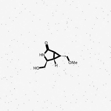 COC[C@H]1C2C(=O)N[C@H](CO)[C@H]21